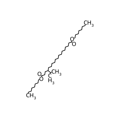 CCCCCCCCOC(=O)CCCCCCCCCCCCCC(CCC(=O)OCCCCCCCC)C(C)C